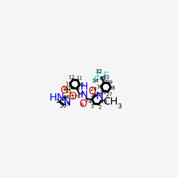 Cc1ccc(C(=O)NCc2ccccc2S(=O)(=O)c2ncc[nH]2)c(=O)n1-c1cccc(C(F)(F)F)c1